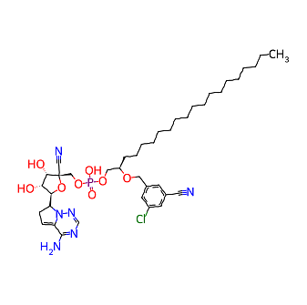 CCCCCCCCCCCCCCCCCC[C@H](COP(=O)(O)OC[C@@]1(C#N)O[C@@H](C2CC=C3C(N)=NC=NN32)[C@H](O)[C@@H]1O)OCc1cc(Cl)cc(C#N)c1